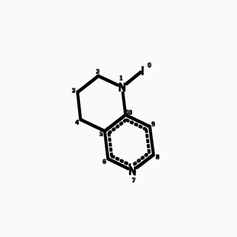 IN1CCCc2cnccc21